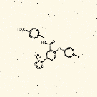 Cn1nccc1-c1ccc(Oc2ccc(F)cc2)c(C(=O)NCc2ccc(C(=O)O)cc2)c1